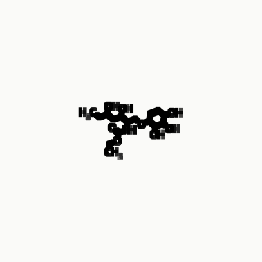 CCOC(=O)NC(COC1C=CC(O)C(O)C1O)C(O)CC(O)CC